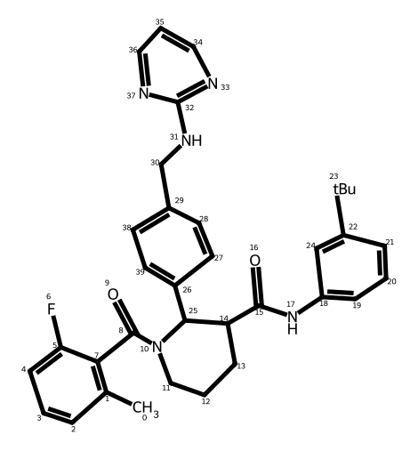 Cc1cccc(F)c1C(=O)N1CCCC(C(=O)Nc2cccc(C(C)(C)C)c2)C1c1ccc(CNc2ncccn2)cc1